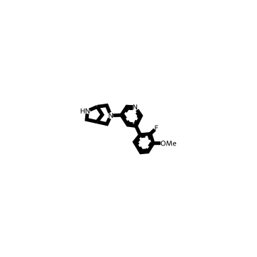 COc1cccc(-c2cncc(N3CC4CNC(C4)C3)c2)c1F